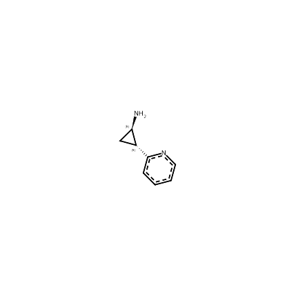 N[C@@H]1C[C@H]1c1ccccn1